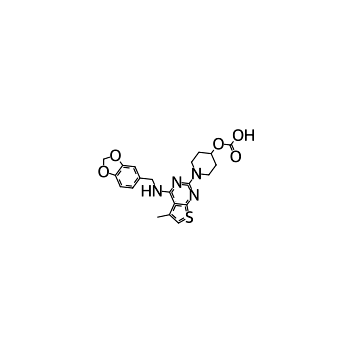 Cc1csc2nc(N3CCC(OC(=O)O)CC3)nc(NCc3ccc4c(c3)OCO4)c12